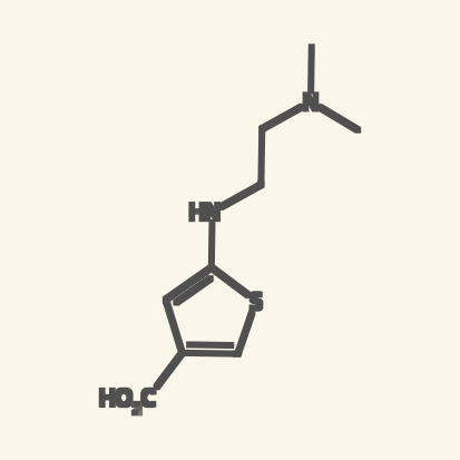 CN(C)CCNc1cc(C(=O)O)cs1